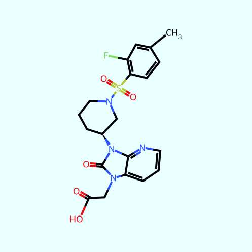 Cc1ccc(S(=O)(=O)N2CCC[C@H](n3c(=O)n(CC(=O)O)c4cccnc43)C2)c(F)c1